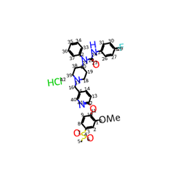 COc1cc(S(C)(=O)=O)ccc1Oc1ccc(CN2CCC(N(C(=O)Nc3ccc(F)cc3)c3ccccc3)CC2)cn1.Cl